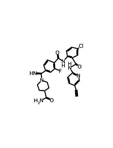 C#Cc1ccc(NC(=O)c2cc(Cl)ccc2NC(=O)c2ccc(C(=N)N3CCC(C(N)=O)CC3)cc2F)nc1